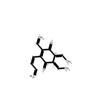 C=C/C=C\C1=C(C=C)C(=O)C(=C/C)/C(=C\C)C1=O